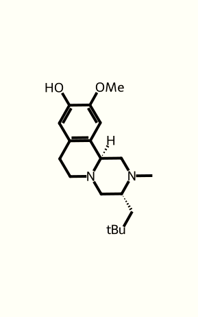 COc1cc2c(cc1O)CCN1C[C@@H](CC(C)(C)C)N(C)C[C@H]21